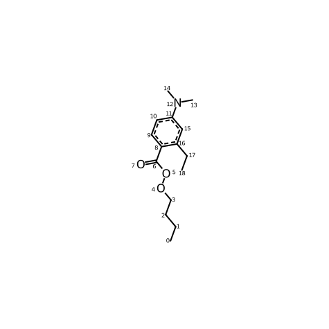 CCCCOOC(=O)c1ccc(N(C)C)cc1CC